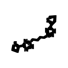 c1csc(-c2nnn(CCCCn3nnc(-c4cccs4)n3)n2)c1